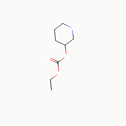 CCOC(=O)OC1CCCNC1